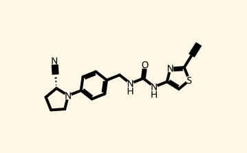 C#Cc1nc(NC(=O)NCc2ccc(N3CCC[C@@H]3C#N)cc2)cs1